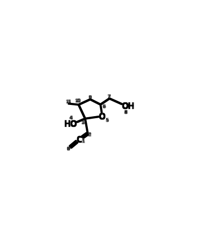 C=C=CC1(O)OC(CO)CC1C